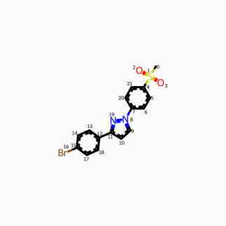 CS(=O)(=O)c1ccc(-n2ccc(-c3ccc(Br)cc3)n2)cc1